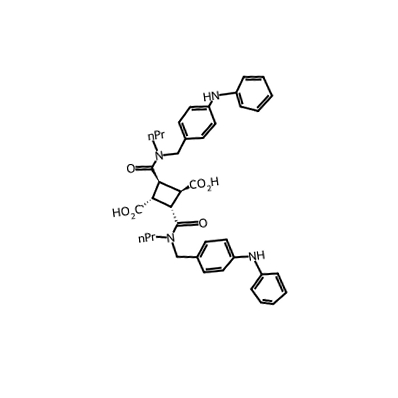 CCCN(Cc1ccc(Nc2ccccc2)cc1)C(=O)[C@H]1[C@H](C(=O)O)[C@H](C(=O)N(CCC)Cc2ccc(Nc3ccccc3)cc2)[C@H]1C(=O)O